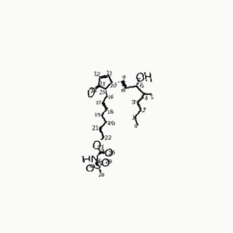 CCCCC(C)[C@H](O)C=C[C@H]1C=CC(=O)[C@@H]1CC=CCCCCOC(=O)NS(C)(=O)=O